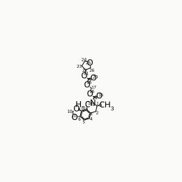 CC(Cc1ccc2c(c1)OCO2)N(C)C(=O)OCOC(=O)OC1CCOC1